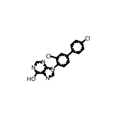 Oc1ncnc2c1ncn2-c1ccc(-c2ccc(Cl)cc2)cc1Cl